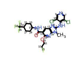 Cn1c(Nc2c(Cl)cncc2Cl)nc2cc(C(=O)NC3CCC(C(F)(F)F)CC3)c(OCCF)nc21